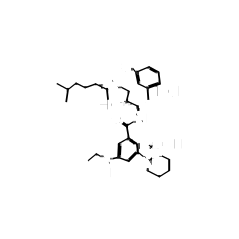 CCNc1cc(C(=O)N[C@@H](Cc2cccc(Cl)c2)[C@H](O)CNC(C)CCCC(C)C)cc(N2CCCCS2(O)O)c1.Cl